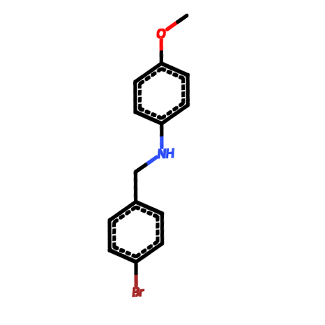 COc1ccc(NCc2ccc(Br)cc2)cc1